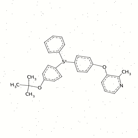 Cc1ncccc1Oc1ccc([S+](c2ccccc2)c2ccc(OC(C)(C)C)cc2)cc1